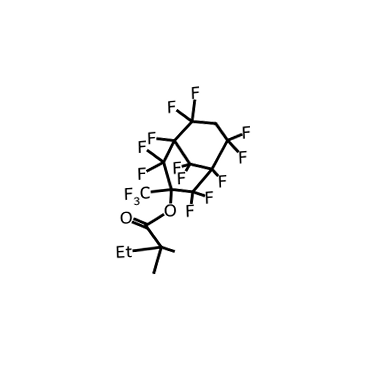 CCC(C)(C)C(=O)OC1(C(F)(F)F)C(F)(F)C2(F)C(F)(F)CC(F)(F)C(F)(C2(F)F)C1(F)F